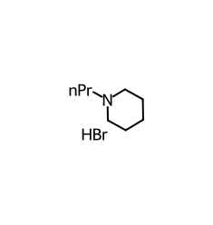 Br.CCCN1CCCCC1